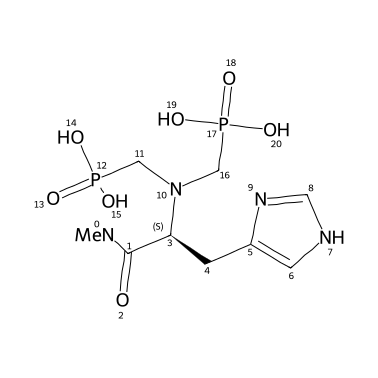 CNC(=O)[C@H](Cc1c[nH]cn1)N(CP(=O)(O)O)CP(=O)(O)O